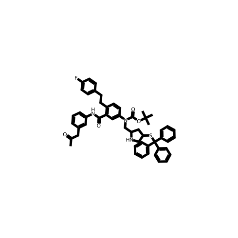 CC(=O)Cc1cccc(NC(=O)c2cc(N(CC3CC(SC(c4ccccc4)(c4ccccc4)c4ccccc4)CN3)C(=O)OC(C)(C)C)ccc2CCc2ccc(F)cc2)c1